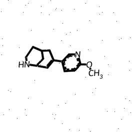 COc1ccc(C2=CC3CC(CCN3)C2)cn1